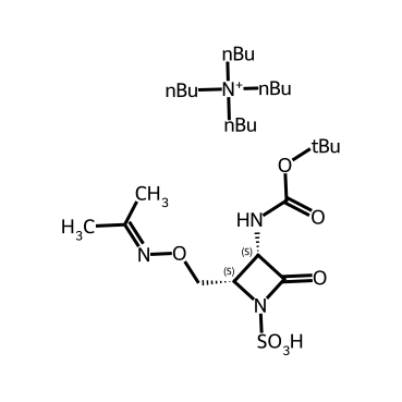 CC(C)=NOC[C@@H]1[C@H](NC(=O)OC(C)(C)C)C(=O)N1S(=O)(=O)O.CCCC[N+](CCCC)(CCCC)CCCC